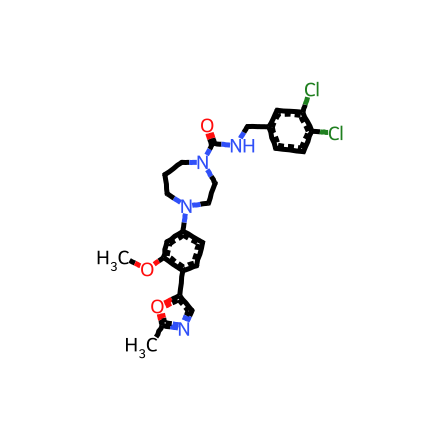 COc1cc(N2CCCN(C(=O)NCc3ccc(Cl)c(Cl)c3)CC2)ccc1-c1cnc(C)o1